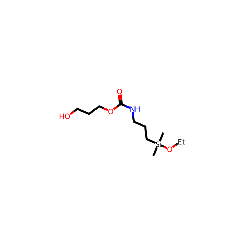 CCO[Si](C)(C)CCCNC(=O)OCCCO